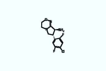 N[C@@H]1C2=NOCCN2C[C@H]1c1cc(F)c(Cl)cc1F